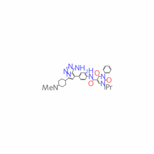 CNC1CCC(c2cc(-c3ccc(NC(=O)c4cn(C(C)C)c(=O)n(-c5ccccc5)c4=O)cc3)c3c(N)ncnn23)CC1